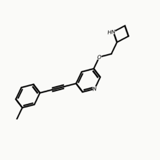 Cc1cccc(C#Cc2cncc(OCC3CCN3)c2)c1